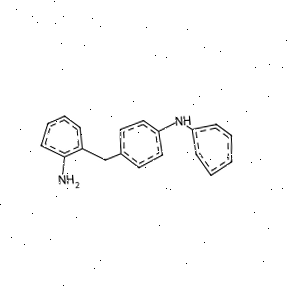 Nc1ccccc1Cc1ccc(Nc2ccccc2)cc1